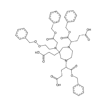 O=C(O)CCC(C(=O)OCc1ccccc1)N1CCN(C(CCC(=O)O)C(=O)OCc2ccccc2)CC(CCC(=O)O)(N(CCOOCc2ccccc2)CC(=O)OCc2ccccc2)C1